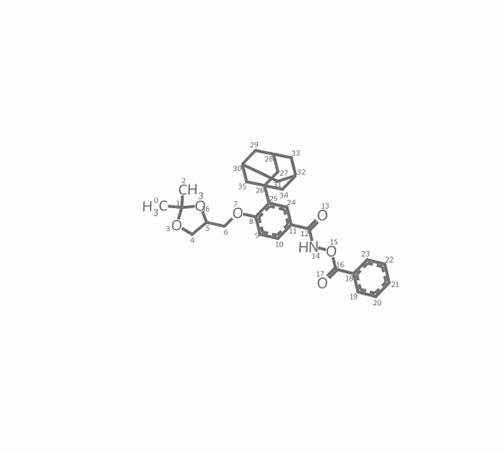 CC1(C)OCC(COc2ccc(C(=O)NOC(=O)c3ccccc3)cc2C23CC4CC(CC(C4)C2)C3)O1